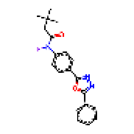 CC(C)(C)CC(=O)N(I)c1ccc(-c2nnc(-c3ccccc3)o2)cc1